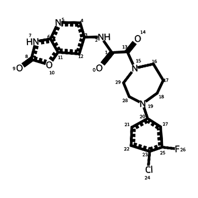 O=C(Nc1cnc2[nH]c(=O)oc2c1)C(=O)N1CCCN(c2ccc(Cl)c(F)c2)CC1